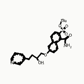 CC(C)(C)OS(=O)(=O)c1ccc2cc(OCC(O)CCc3cccnc3)ccc2c1C(N)=O